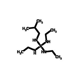 CCN[Si](NCC)(NCC)NCC(C)C